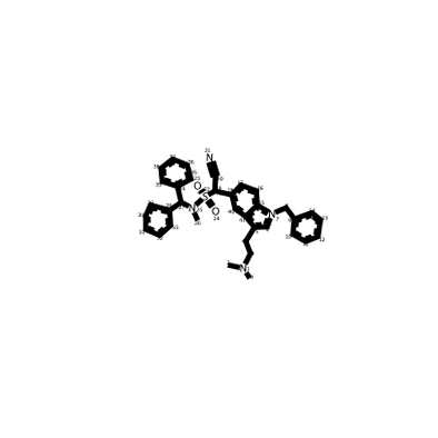 CN(C)CCc1cn(Cc2ccccc2)c2ccc(C(C#N)S(=O)(=O)N(C)C(c3ccccc3)c3ccccc3)cc12